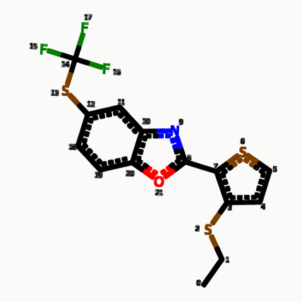 CCSc1ccsc1-c1nc2cc(SC(F)(F)F)ccc2o1